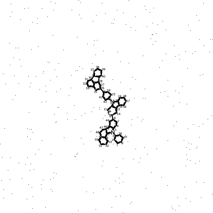 c1ccc(-n2c3ccc(-c4ccc5c(c4)c4ccccc4n5-c4ccc(-c5cc6c7c(cccc7c5)-c5ccccc5-6)cc4)cc3c3ccc4ccccc4c32)cc1